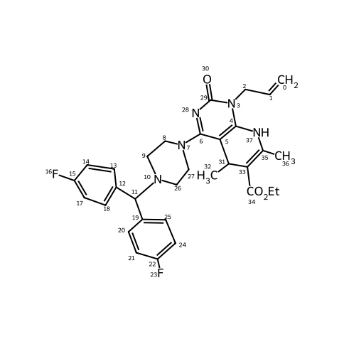 C=CCn1c2c(c(N3CCN(C(c4ccc(F)cc4)c4ccc(F)cc4)CC3)nc1=O)C(C)C(C(=O)OCC)=C(C)N2